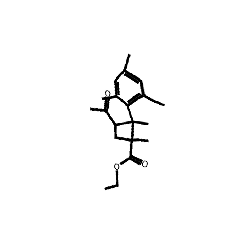 CCOC(=O)C1(C)CC(C(C)=O)C1(C)c1c(C)cc(C)cc1C